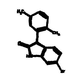 Cc1ccc(C)c(C2C(=O)Nc3cc(Br)ccc32)c1